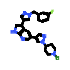 Fc1cccc(Cn2cc(-c3c[nH]c4ncc(-c5cnn(C6CCN(Cl)CC6)c5)cc34)cn2)c1